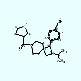 CC(C)N1CC2(CCN(C(=O)C3CCOC3)CC2)C1c1ccc(O)cc1